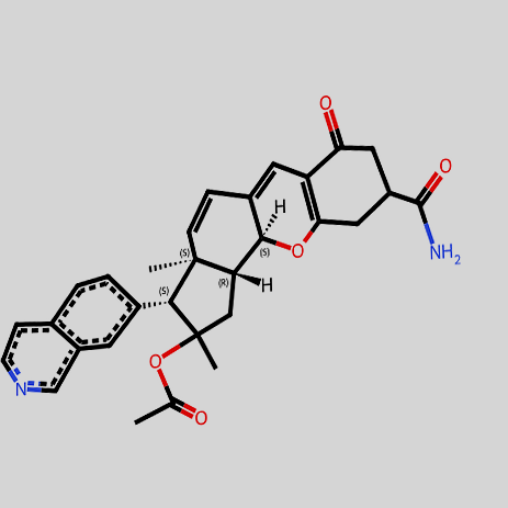 CC(=O)OC1(C)C[C@H]2[C@@H]3OC4=C(C=C3C=C[C@]2(C)[C@H]1c1ccc2ccncc2c1)C(=O)CC(C(N)=O)C4